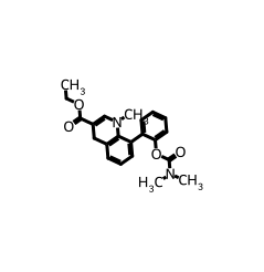 CCOC(=O)C1=CN(C)c2c(cccc2-c2ccccc2OC(=O)N(C)C)C1